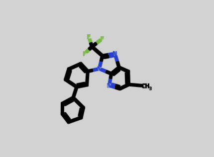 Cc1cnc2c(c1)nc(C(F)(F)F)n2-c1cccc(-c2ccccc2)c1